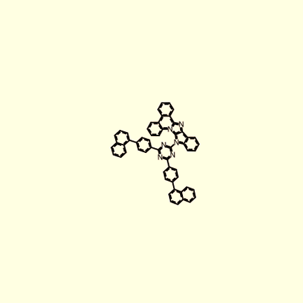 c1ccc2c(-c3ccc(-c4nc(-c5ccc(-c6cccc7ccccc67)cc5)nc(-n5c6ccccc6c6nc7c8ccccc8c8ccccc8n7c65)n4)cc3)cccc2c1